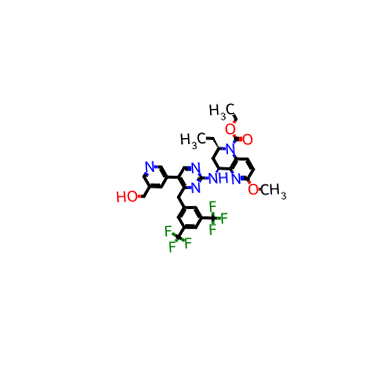 CCOC(=O)N1c2ccc(OC)nc2[C@@H](Nc2ncc(-c3cncc(CO)c3)c(Cc3cc(C(F)(F)F)cc(C(F)(F)F)c3)n2)C[C@H]1CC